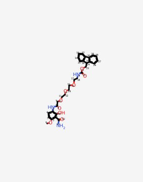 COc1ccc(NC(=O)COCCOCCOCCNC(=O)OCC2c3ccccc3-c3ccccc32)c(O)c1C(N)=O